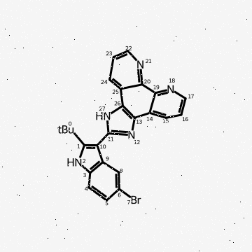 CC(C)(C)c1[nH]c2ccc(Br)cc2c1-c1nc2c3cccnc3c3ncccc3c2[nH]1